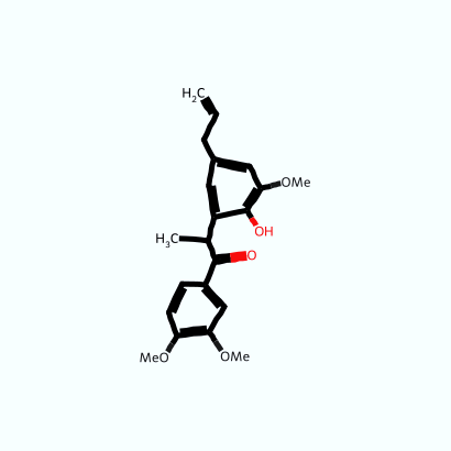 C=CCc1cc(OC)c(O)c(C(C)C(=O)c2ccc(OC)c(OC)c2)c1